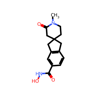 CN1CCC2(CC1=O)Cc1ccc(C(=O)NO)cc1C2